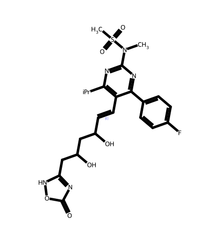 CC(C)c1nc(N(C)S(C)(=O)=O)nc(-c2ccc(F)cc2)c1/C=C/C(O)CC(O)Cc1nc(=O)o[nH]1